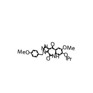 COc1ccc(Cn2nnc3c(=O)c4cc(OC)c(OC(C)C)cc4[nH]c(=O)c32)cc1